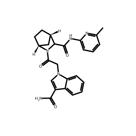 Cc1cccc(NC(=O)C2[C@H]3CC[C@H](C3)N2C(=O)Cn2cc(C(N)=O)c3ccccc32)n1